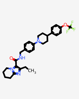 CCc1nc2n(c1C(=O)NCc1ccc(N3CCC(c4ccc(OC(F)(F)F)cc4)CC3)cc1)CCCC2